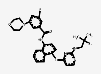 CCC(C)(C)CNc1nccc(Oc2ccc(NC(=O)c3cc(F)cc(N4CCOCC4)c3)c3ccccc23)n1